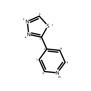 c1cc(-c2nncs2)ccn1